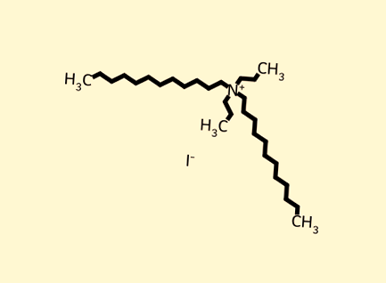 CCCCCCCCCCCC[N+](CCC)(CCC)CCCCCCCCCCCC.[I-]